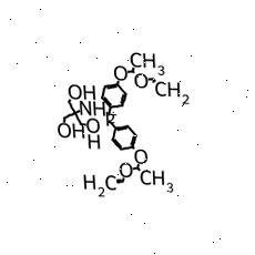 C=COC(C)Oc1ccc([I+]c2ccc(OC(C)OC=C)cc2)cc1.NC(CO)(CO)CO